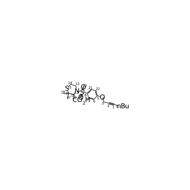 CCCCC#CCOc1ccc(S(=O)(=O)N2CCSC(C)(C)C2C(=O)O)cc1